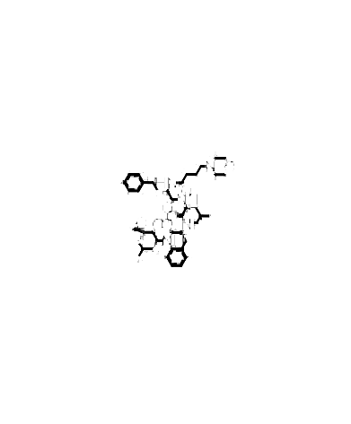 CC(C)C[C@H](NC(=O)[C@H](CCc1ccccc1)NC(=O)CCCN1CCOCC1)C(=O)N[C@@H](Cc1ccccc1)C(=O)N[C@@H](CC(C)C)C(=O)[C@@]1(C)CO1